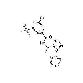 CC(NC(=O)c1cc(Cl)cc(S(C)(=O)=O)c1)c1ncnn1-c1ncccn1